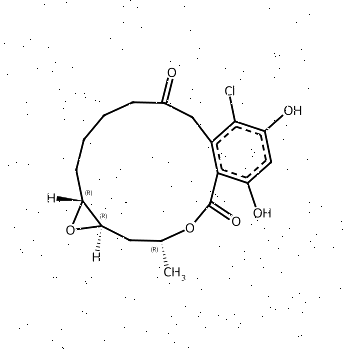 C[C@@H]1C[C@H]2O[C@@H]2CCCCC(=O)Cc2c(Cl)c(O)cc(O)c2C(=O)O1